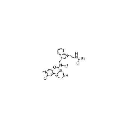 CCC(=O)NCCn1cc(CN(C(=O)[C@@H]2CNCC[C@H]2c2ccn(C)c(=O)c2)C2CC2)c2ccccc21